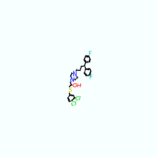 OC(CSCc1ccc(Cl)c(Cl)c1)CN1CCN(CCCC(c2ccc(F)cc2)c2ccc(F)cc2)CC1